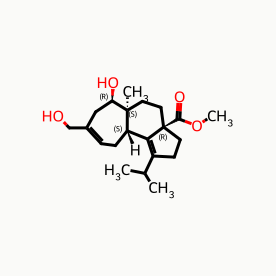 COC(=O)[C@@]12CCC(C(C)C)=C1[C@@H]1CC=C(CO)C[C@@H](O)[C@@]1(C)CC2